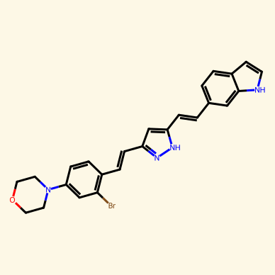 Brc1cc(N2CCOCC2)ccc1/C=C/c1cc(/C=C/c2ccc3cc[nH]c3c2)[nH]n1